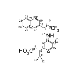 C[C@H]([C@H](CNc1cc([C@@H](CC(=O)O)C2CC2)ccc1Cl)c1cnc2ccccc2c1)C(F)(F)F